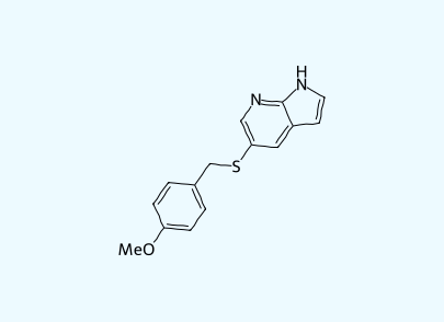 COc1ccc(CSc2cnc3[nH]ccc3c2)cc1